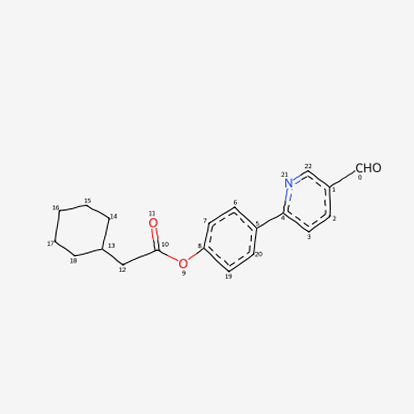 O=Cc1ccc(-c2ccc(OC(=O)CC3CCCCC3)cc2)nc1